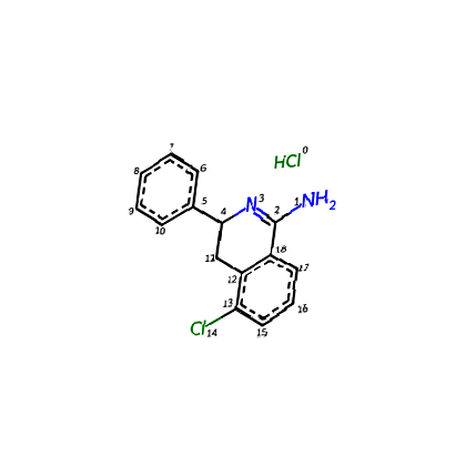 Cl.NC1=NC(c2ccccc2)Cc2c(Cl)cccc21